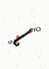 CCCCC/C=C\C/C=C\C/C=C\C/C=C\CCCC(=O)CCCCCCCCCCCCCCCCOC=O